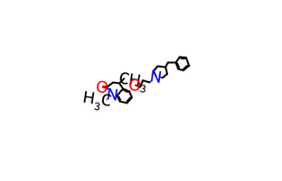 CC1CC(=O)N(C)c2cccc(OCCCN3CCC(Cc4ccccc4)CC3)c21